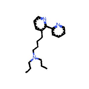 CCCN(CCC)CCCCc1cccnc1-c1ccccn1